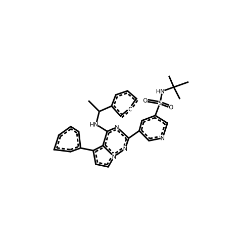 CC(Nc1nc(-c2cncc(S(=O)(=O)NC(C)(C)C)c2)nn2ccc(-c3ccccc3)c12)c1ccccc1